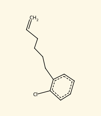 C=CCCCCc1ccccc1Cl